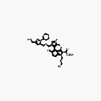 COC(=O)c1c(C)c2c(-c3c(CSCc4cc(CO)nn4C4CCCCO4)nn(C)c3C)c(Cl)ccc2n1CCCO